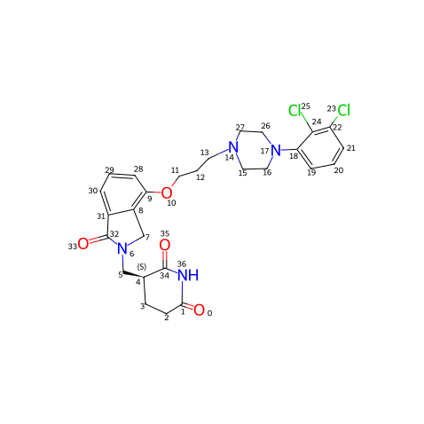 O=C1CC[C@@H](CN2Cc3c(OCCCN4CCN(c5cccc(Cl)c5Cl)CC4)cccc3C2=O)C(=O)N1